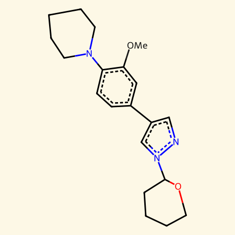 COc1cc(-c2cnn(C3CCCCO3)c2)ccc1N1CCCCC1